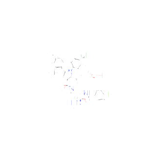 NC(=O)C1(NCc2ccc(F)cc2)CCN(C(=O)c2cc(-c3ccc(Cl)cc3Cl)n(-c3ccc(Cl)cc3)c2CCCCO)CC1